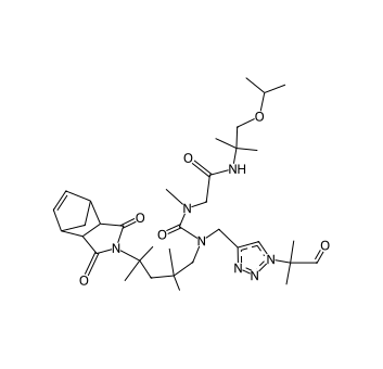 CC(C)OCC(C)(C)NC(=O)CN(C)C(=O)N(Cc1cn(C(C)(C)C=O)nn1)CC(C)(C)CC(C)(C)N1C(=O)C2C3C=CC(C3)C2C1=O